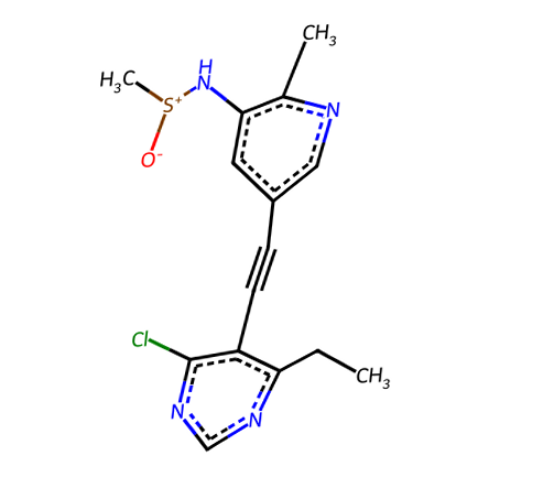 CCc1ncnc(Cl)c1C#Cc1cnc(C)c(N[S+](C)[O-])c1